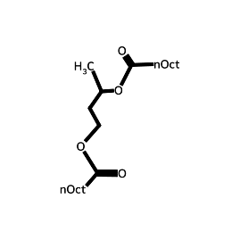 CCCCCCCCC(=O)OCCC(C)OC(=O)CCCCCCCC